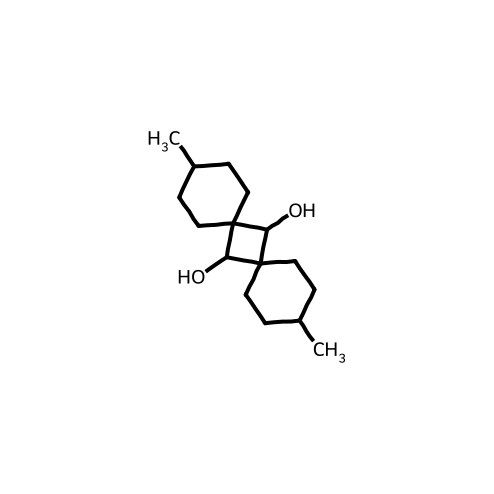 CC1CCC2(CC1)C(O)C1(CCC(C)CC1)C2O